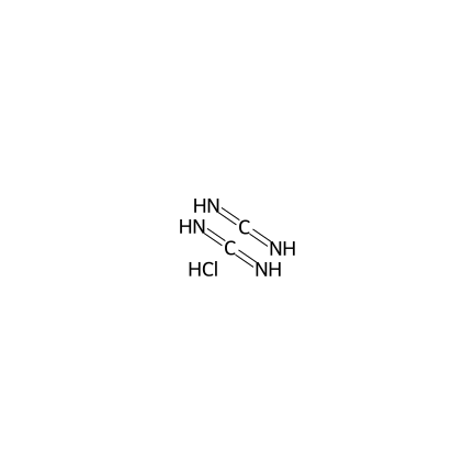 Cl.N=C=N.N=C=N